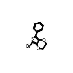 Brc1sc(-c2ccccc2)c2c1OCCO2